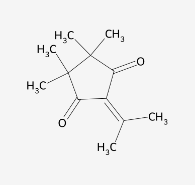 CC(C)=C1C(=O)C(C)(C)C(C)(C)C1=O